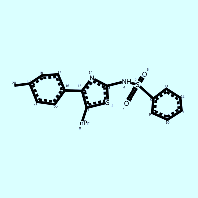 CCCc1sc(NS(=O)(=O)c2ccccc2)nc1-c1ccc(C)cc1